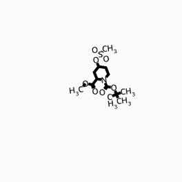 COC(=O)C1CC(OS(C)(=O)=O)CCN1C(=O)OC(C)(C)C